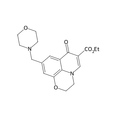 CCOC(=O)c1cn2c3c(cc(CN4CCOCC4)cc3c1=O)OCC2